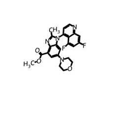 COC(=O)c1cc(N2CCOCC2)cc2c1nc(C)n2-c1ccnc2cc(F)cc(F)c12